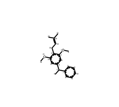 COc1cc(C(C)c2ccccc2)cc(OC)c1CC=C(C)C